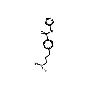 CC(C)N(CCCc1ccc(C(=O)Nc2ccsc2)cc1)C(C)C